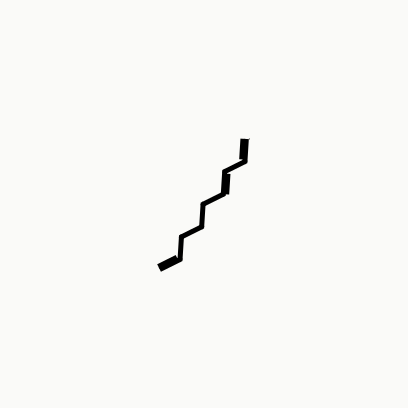 [CH]=CC=CCCCC=C